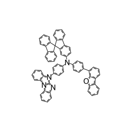 c1ccc2c(c1)-c1ccccc1C21c2ccccc2-c2ccc(N(c3ccc(-c4cccc5c4oc4ccccc45)cc3)c3ccc(-n4c5ccccc5n5c6ccccc6nc45)cc3)cc21